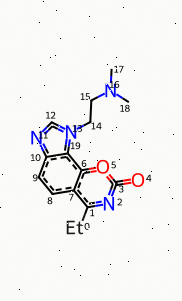 CCc1nc(=O)oc2c1ccc1ncn(CCN(C)C)c12